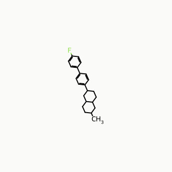 CC1CCC2CC(c3ccc(-c4ccc(F)cc4)cc3)CCC2C1